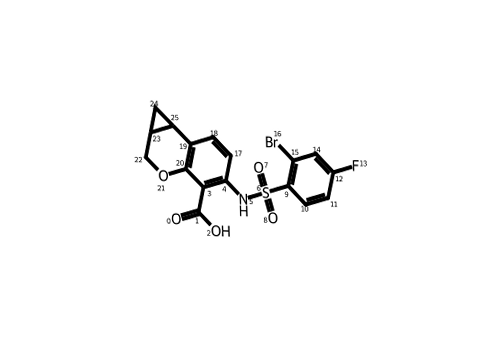 O=C(O)c1c(NS(=O)(=O)c2ccc(F)cc2Br)ccc2c1OCC1CC21